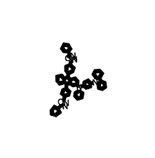 c1ccc(-c2nnc(-c3ccc(-c4c5ccccc5c(-c5ccc(-c6nnc(-c7ccccc7)o6)cc5)c5cc(N(c6ccccc6)c6ccc(-n7c8ccccc8c8ccccc87)cc6)ccc45)cc3)o2)cc1